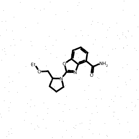 CCOCC1CCCN1c1nc2c(C(N)=O)[c]ccc2o1